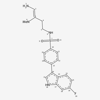 CN/C(=C\N)CCNS(=O)(=O)c1ccc(-c2c[nH]c3cc(F)ccc23)cc1